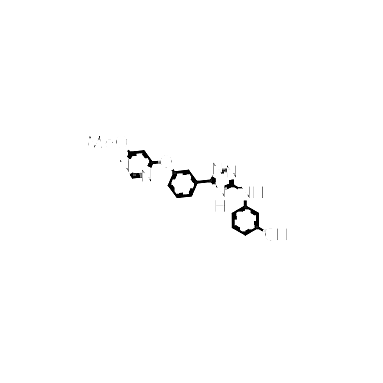 COc1cc(Oc2cccc(-c3nnc(Nc4cccc(C)c4)[nH]3)c2)ncn1